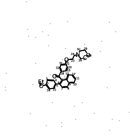 CCOc1ccc(-c2ccc3ccccc3c2C(=O)c2ccc(OCCN3CCOCC3)cc2)cc1